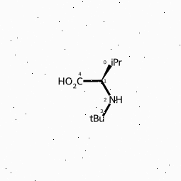 CC(C)[C@@H](NC(C)(C)C)C(=O)O